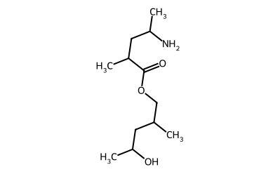 CC(N)CC(C)C(=O)OCC(C)CC(C)O